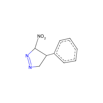 O=[N+]([O-])C1N=NCC1c1ccccc1